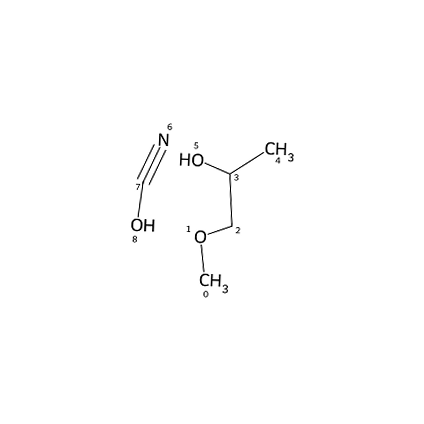 COCC(C)O.N#CO